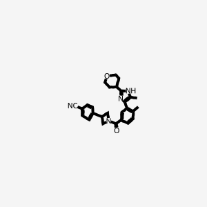 Cc1ccc(C(=O)N2CC(c3ccc(C#N)cc3)C2)cc1-c1nc(C2CCOCC2)[nH]c1C